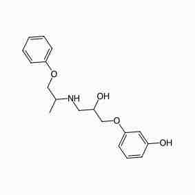 CC(COc1ccccc1)NCC(O)COc1cccc(O)c1